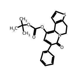 CC(C)(C)OC(=O)Oc1cc(-c2ccccc2)c(=O)n2c1-c1ccsc1CC2